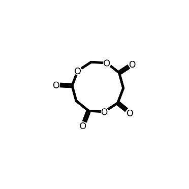 O=C1CC(=O)OC(=O)CC(=O)OCO1